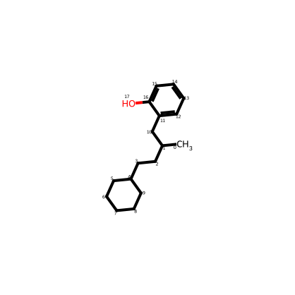 CC(CCC1CCCCC1)Cc1ccccc1O